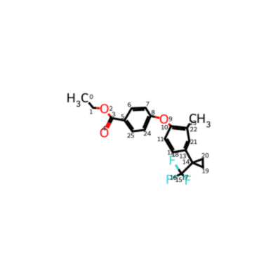 CCOC(=O)c1ccc(Oc2ccc(C3(C(F)(F)F)CC3)cc2C)cc1